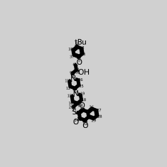 CC(C)(C)c1ccc(OC[C@@H](O)CN2CCC(N3CCC4(CC3)CSC3=C(O4)c4ccccc4C(=O)C3=O)CC2)cc1